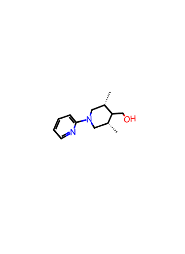 C[C@@H]1CN(c2ccccn2)C[C@H](C)C1CO